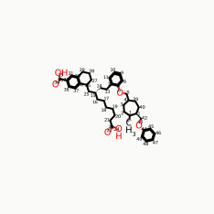 CC1CCC(COc2cc#ccc2CC[C@H](CCCCCCC(=O)O)CC2CCCc3cc(C(=O)O)ccc32)CC[C@H]1COc1ccccc1